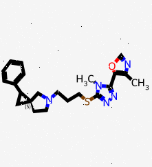 Cc1ncoc1-c1nnc(SCCCN2CC[C@]3(CC3c3ccccc3)C2)n1C